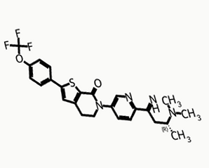 C[C@H](CC(=N)c1ccc(N2CCc3cc(-c4ccc(OC(F)(F)F)cc4)sc3C2=O)cn1)N(C)C